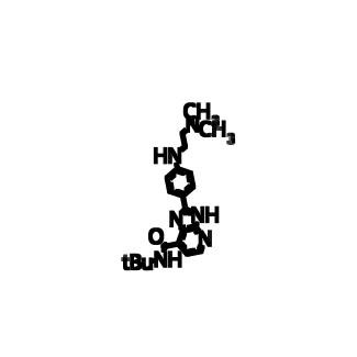 CN(C)CCNc1ccc(-c2nc3c(C(=O)NC(C)(C)C)ccnc3[nH]2)cc1